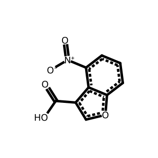 O=C(O)c1coc2cccc([N+](=O)[O-])c12